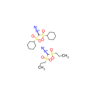 CCCS(=O)(=O)C(=[N+]=[N-])S(=O)(=O)CCC.[N-]=[N+]=C(S(=O)(=O)C1CCCCC1)S(=O)(=O)C1CCCCC1